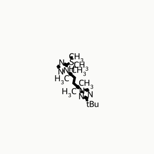 C[SH](C)c1ncnn1C(C)(C)CCC(C)(C)n1cnc(C(C)(C)C)n1